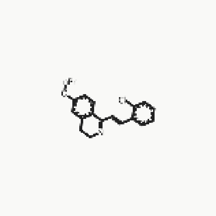 CCCOc1ccc2c(c1)CCN=C2C=Cc1ccccc1Cl